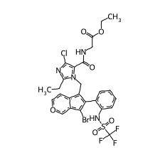 CCOC(=O)CNC(=O)c1c(Cl)nc(CC)n1Cc1c2ccocc-2c(Br)c1-c1ccccc1NS(=O)(=O)C(F)(F)F